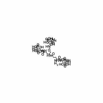 N[C@@H](CCC(=O)N[C@@H](CCC(=O)NCCC(O)(P(=O)(O)O)P(=O)(O)O)COCNCCC(O)(P(=O)(O)O)P(=O)(O)O)C(=O)NCCC(O)(P(=O)(O)O)P(=O)(O)O